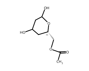 CC(=O)OC[C@@H]1CC(O)CC(O)O1